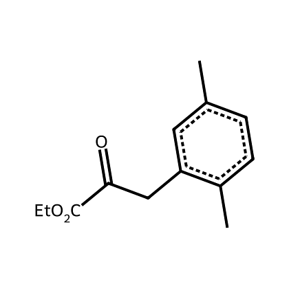 CCOC(=O)C(=O)Cc1cc(C)ccc1C